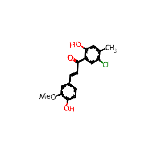 COc1cc(C=CC(=O)c2cc(Cl)c(C)cc2O)ccc1O